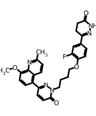 COc1ccc(-c2ccc(=O)n(CCCCOc3ccc(C4=NNC(=O)CC4)cc3F)n2)c2ccc(C)nc12